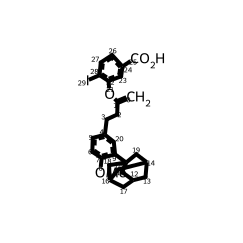 C=C(CCc1ccc(OC)c(C23CC4CC(CC(C4)C2)C3)c1)Oc1cc(C(=O)O)ccc1I